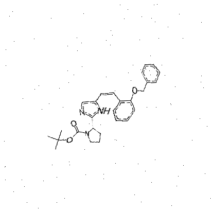 CC(C)(C)OC(=O)N1CCC[C@H]1c1ncc(/C=C\c2ccccc2OCc2ccccc2)[nH]1